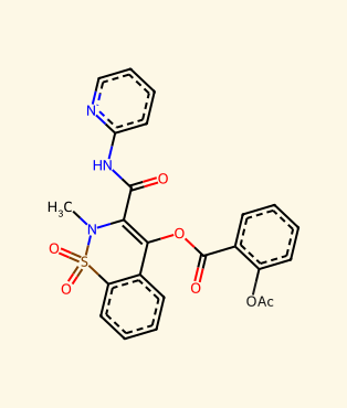 CC(=O)Oc1ccccc1C(=O)OC1=C(C(=O)Nc2ccccn2)N(C)S(=O)(=O)c2ccccc21